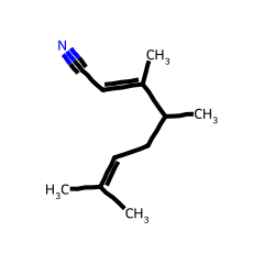 CC(C)=CCC(C)C(C)=CC#N